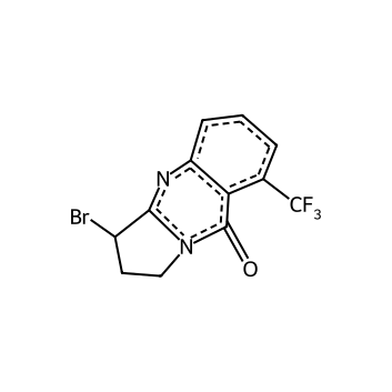 O=c1c2c(C(F)(F)F)cccc2nc2n1CCC2Br